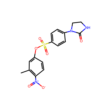 Cc1cc(OS(=O)(=O)c2ccc(N3CCNC3=O)cc2)ccc1[N+](=O)[O-]